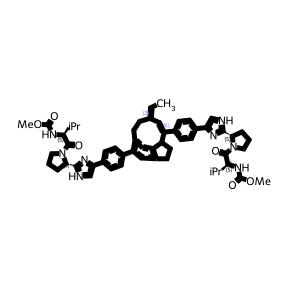 C/C=C1\C=C(\c2ccc(-c3c[nH]c([C@@H]4CCCN4C(=O)[C@@H](NC(=O)OC)C(C)C)n3)cc2)C2CCc3cc(-c4ccc(-c5c[nH]c([C@@H]6CCCN6C(=O)[C@@H](NC(=O)OC)C(C)C)n5)cc4)c(cc32)CC1